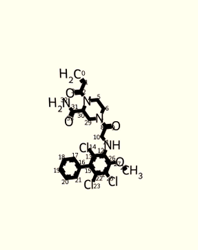 C=CC(=O)N1CCN(C(=O)CNc2c(Cl)c(-c3ccccc3)c(Cl)c(Cl)c2OC)CC1C(N)=O